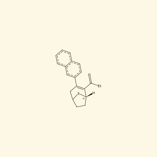 CCC(=O)C1=C(c2ccc3ccccc3c2)CC2CC[C@@H]1S2